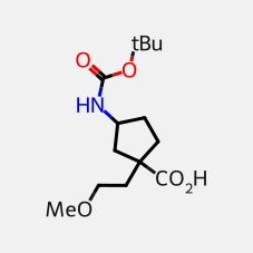 COCCC1(C(=O)O)CCC(NC(=O)OC(C)(C)C)C1